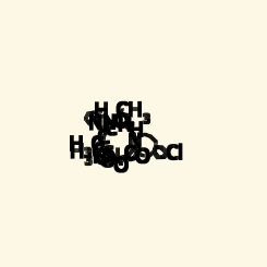 CCO[C@]1(CN2CCN3CCCC[C@@H]3C2)CCC[C@H](C)[C@@H](C)S(=O)(=O)NC(=O)c2ccc3c(c2)N(CCCCc2cc(Cl)ccc2CO3)C[C@@H]2CC[C@H]21